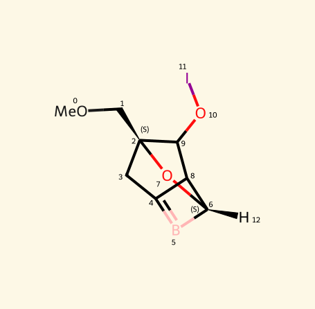 COC[C@]12CC3=B[C@H](O1)C3C2OI